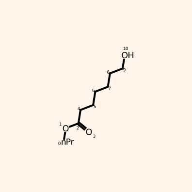 CCCOC(=O)CCCCCCO